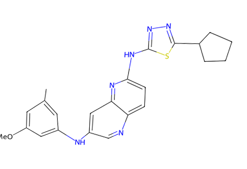 COc1cc(C)cc(Nc2cnc3ccc(Nc4nnc(C5CCCC5)s4)nc3c2)c1